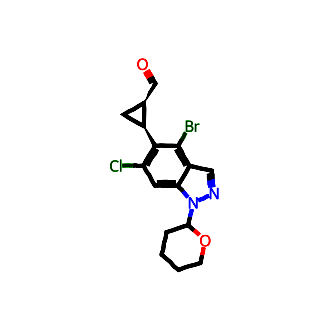 O=C[C@@H]1C[C@@H]1c1c(Cl)cc2c(cnn2C2CCCCO2)c1Br